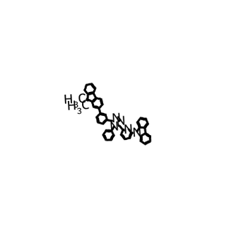 CC1(C)C2=C(C=CCC2)c2ccc(-c3cccc(-c4nnc(-c5cccc(-n6c7ccccc7c7ccccc76)n5)n4-c4ccccc4)c3)cc21